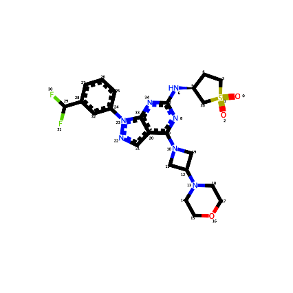 O=S1(=O)CC[C@H](Nc2nc(N3CC(N4CCOCC4)C3)c3cnn(-c4cccc(C(F)F)c4)c3n2)C1